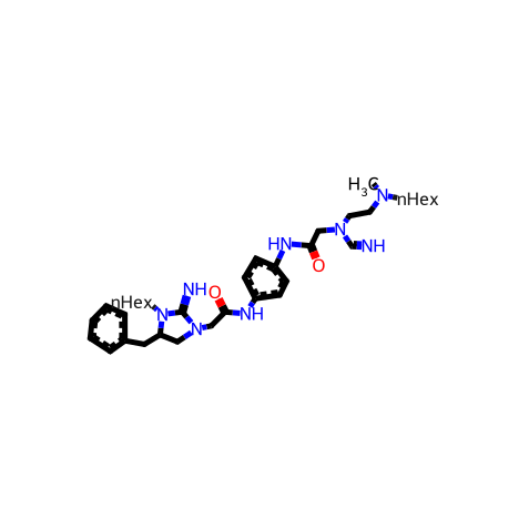 CCCCCCN(C)CCN(C=N)CC(=O)Nc1ccc(NC(=O)CN2CC(Cc3ccccc3)N(CCCCCC)C2=N)cc1